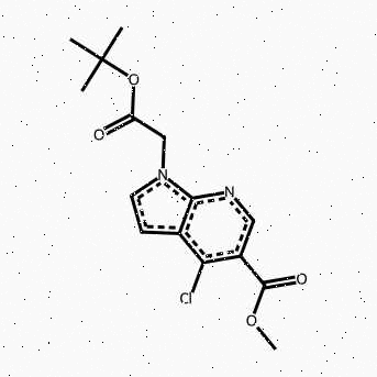 COC(=O)c1cnc2c(ccn2CC(=O)OC(C)(C)C)c1Cl